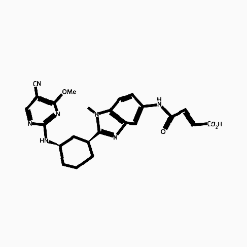 COc1nc(N[C@@H]2CCC[C@H](c3nc4cc(NC(=O)/C=C/C(=O)O)ccc4n3C)C2)ncc1C#N